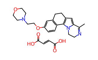 CC1=NCCn2c1cc1c2-c2ccc(OCCN3CCOCC3)cc2CC1.O=C(O)C=CC(=O)O